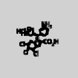 Cl.Nc1cccc(C(=C2CNOC2)n2c(C(=O)O)cc3c2C=C(Cl)C(=O)C3Cl)c1